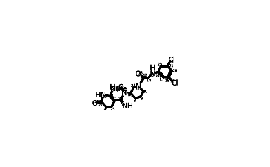 CNC1=C(C(=N)N(C)[C@H]2CCCN(C(=O)CNc3cc(Cl)cc(Cl)c3)C2)CCC(=O)N1